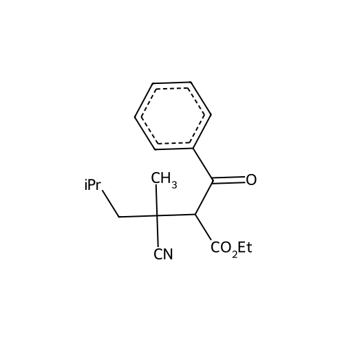 CCOC(=O)C(C(=O)c1ccccc1)C(C)(C#N)CC(C)C